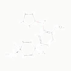 COc1ccc([C@]2(C#N)CC[C@](C)(C(=O)O)CC2)cc1OC1CCCC1